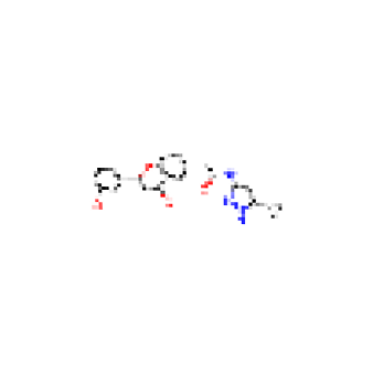 O=C(Cc1ccc2oc(-c3cccc(O)c3)cc(=O)c2c1)Nc1cc(C2CC2)[nH]n1